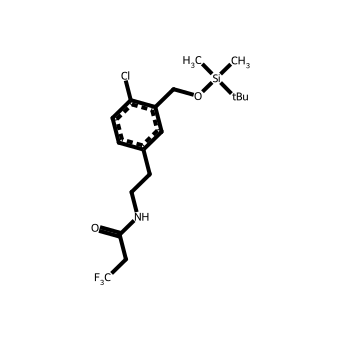 CC(C)(C)[Si](C)(C)OCc1cc(CCNC(=O)CC(F)(F)F)ccc1Cl